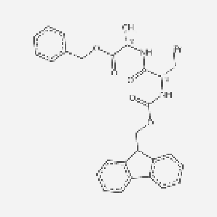 CC(C)C[C@H](NC(=O)OCC1c2ccccc2-c2ccccc21)C(=O)N[C@@H](C)C(=O)OCc1ccccc1